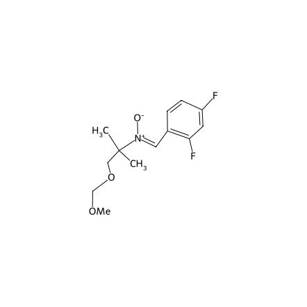 COCOCC(C)(C)[N+]([O-])=Cc1ccc(F)cc1F